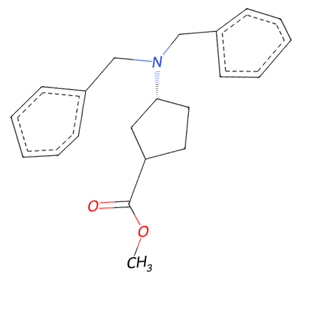 COC(=O)C1CC[C@@H](N(Cc2ccccc2)Cc2ccccc2)C1